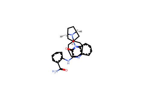 NC(=O)c1ccccc1Nc1nc2ccccc2n([C@H]2C[C@H]3CC[C@@H](C2)N3C2CCCCCCC2)c1=O